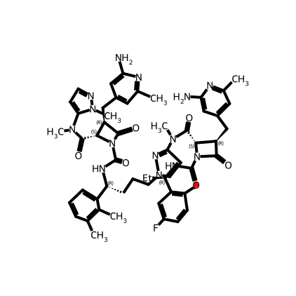 CC[C@@H](NC(=O)N1C(=O)[C@H](Cc2cc(C)nc(N)c2)[C@H]1C(=O)N(C)c1ccn(CCC[C@@H](NC(=O)N2C(=O)[C@H](Cc3cc(C)nc(N)c3)[C@H]2C(=O)N(C)c2ccnn2C)c2cccc(C)c2C)n1)c1cc(F)ccc1F